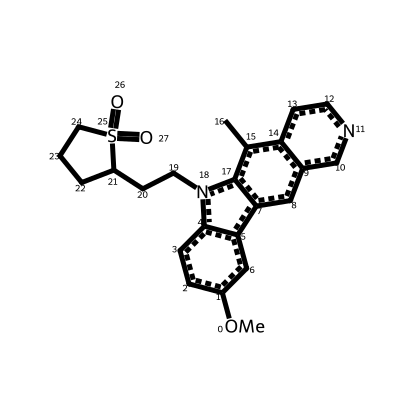 COc1ccc2c(c1)c1cc3cnccc3c(C)c1n2CCC1CCCS1(=O)=O